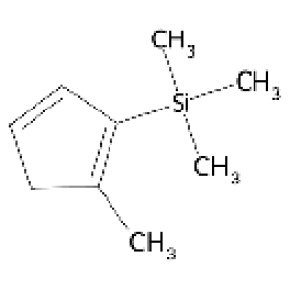 CC1=C([Si](C)(C)C)C=CC1